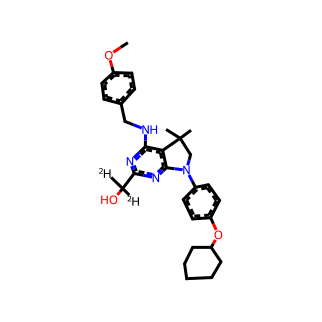 [2H]C([2H])(O)c1nc(NCc2ccc(OC)cc2)c2c(n1)N(c1ccc(OC3CCCCC3)cc1)CC2(C)C